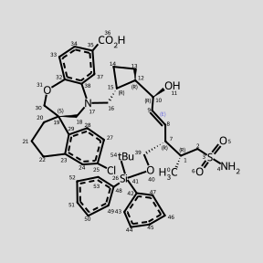 C[C@@H](CS(N)(=O)=O)[C@@H](/C=C/[C@H](O)[C@@H]1CC[C@H]1CN1C[C@@]2(CCCc3cc(Cl)ccc32)COc2ccc(C(=O)O)cc21)CO[Si](c1ccccc1)(c1ccccc1)C(C)(C)C